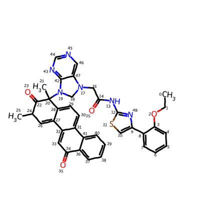 CCOc1ccccc1-c1csc(NC(=O)CN2CN(C3(C)C(=O)C(C)C=c4c3ccc3c4=CC(=O)c4ccccc4-3)c3ncncc32)n1